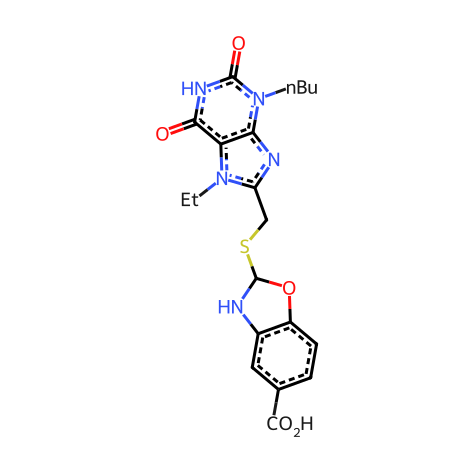 CCCCn1c(=O)[nH]c(=O)c2c1nc(CSC1Nc3cc(C(=O)O)ccc3O1)n2CC